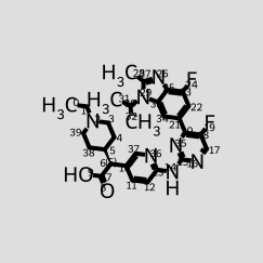 CCN1CCC([C@H](C(=O)O)c2ccc(Nc3ncc(F)c(-c4cc(F)c5nc(C)n(C(C)C)c5c4)n3)nc2)CC1